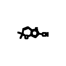 CC1(C)C=Cc2sc(C#N)cc2O1